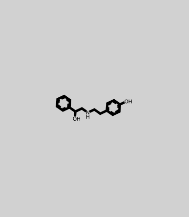 Oc1ccc(CCNCC(O)c2ccccc2)cc1